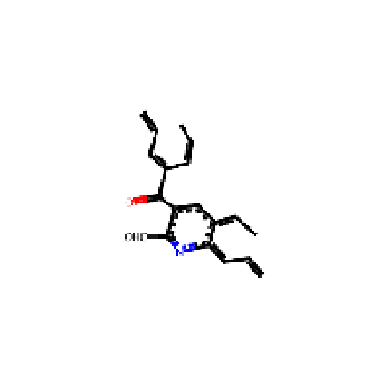 C=C/C=C(\C=C/C)C(=O)c1cc(=C/C)/c(=C\C=C)nc1C=O